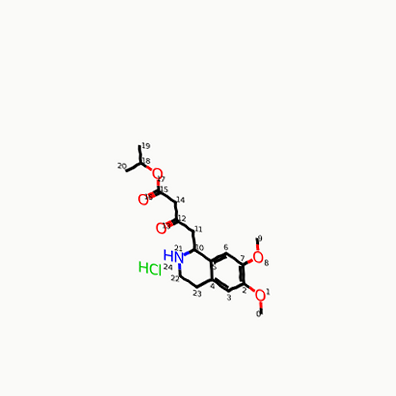 COc1cc2c(cc1OC)C(CC(=O)CC(=O)OC(C)C)NCC2.Cl